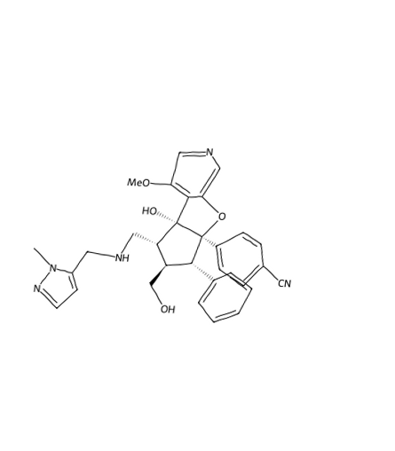 COc1cncc2c1[C@]1(O)[C@@H](CNCc3ccnn3C)[C@H](CO)[C@@H](c3ccccc3)[C@]1(c1ccc(C#N)cc1)O2